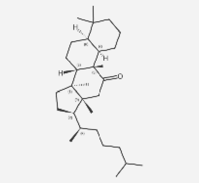 CC(C)CCC[C@@H](C)[C@H]1CC[C@@]2(C)[C@@H]3CC[C@@H]4[C@@H](CCCC4(C)C)[C@]3(C)C(=O)C[C@]12C